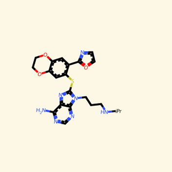 CC(C)NCCCn1c(Sc2cc3c(cc2-c2ncco2)OCCO3)nc2c(N)ncnc21